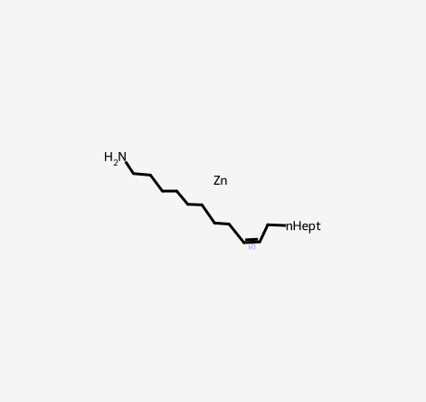 CCCCCCCC/C=C\CCCCCCCCN.[Zn]